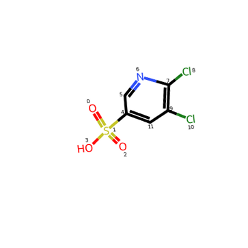 O=S(=O)(O)c1cnc(Cl)c(Cl)c1